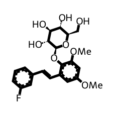 COc1cc(/C=C/c2cccc(F)c2)c(O[C@@H]2O[C@H](CO)[C@@H](O)[C@H](O)[C@H]2O)c(OC)c1